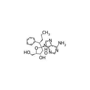 CCC[C@H](c1ccccc1)[C@@]1(n2cnc3c(N)ncnc32)O[C@H](CO)[C@@H](O)[C@H]1O